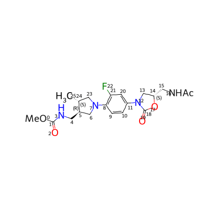 COC(=O)NC[C@@H]1CN(c2ccc(N3C[C@H](CNC(C)=O)OC3=O)cc2F)C[C@H]1C